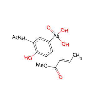 C/C=C/C(=O)OC.CC(=O)Nc1cc([As](=O)(O)O)ccc1O